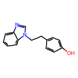 Oc1ccc(CCn2cnc3ccccc32)cc1